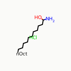 CCCCCCCCCCCCCCCCCCC(N)O.Cl